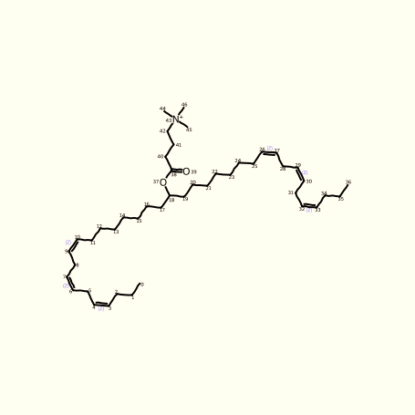 CCC/C=C\C/C=C\C/C=C\CCCCCCCC(CCCCCCC/C=C\C/C=C\C/C=C\CCC)OC(=O)CCC[N+](C)(C)C